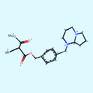 CCCC(C(=O)OC)C(=O)OCc1ccc(CN2CCCN3CCCC32)cc1